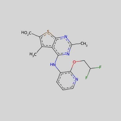 Cc1nc(Nc2cccnc2OCC(F)F)c2c(C)c(C(=O)O)sc2n1